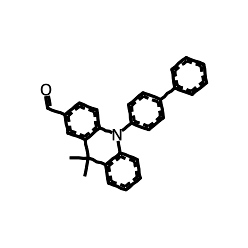 CC1(C)c2ccccc2N(c2ccc(-c3ccccc3)cc2)c2ccc(C=O)cc21